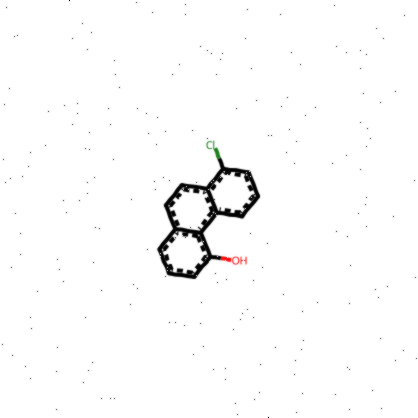 Oc1cccc2ccc3c(Cl)cccc3c12